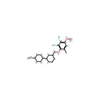 CCCC1CCC(C2CCCC(COc3c(C)cc(OCC)c(F)c3F)C2)CC1